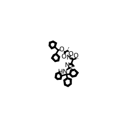 C[C@H](O/N=C(\[C]=O)c1csc(NC(c2ccccc2)(c2ccccc2)c2ccccc2)n1)C(=O)OC(c1ccccc1)c1ccccc1